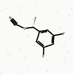 C[C@@H](SC#N)c1cc(F)cc(F)c1